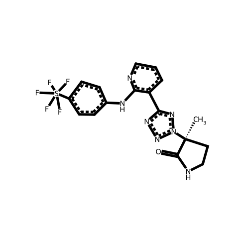 C[C@]1(n2nnc(-c3cccnc3Nc3ccc(S(F)(F)(F)(F)F)cc3)n2)CCNC1=O